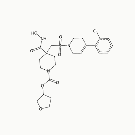 O=C(OC1CCOC1)N1CCC(CS(=O)(=O)N2CC=C(c3ccccc3Cl)CC2)(C(=O)NO)CC1